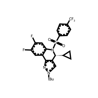 CC(C)(C)n1cc2c(n1)-c1cc(F)c(F)cc1N(S(=O)(=O)c1ccc(C(F)(F)F)cc1)[C@@H]2C1CC1